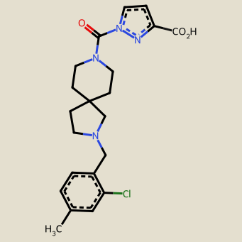 Cc1ccc(CN2CCC3(CCN(C(=O)n4ccc(C(=O)O)n4)CC3)C2)c(Cl)c1